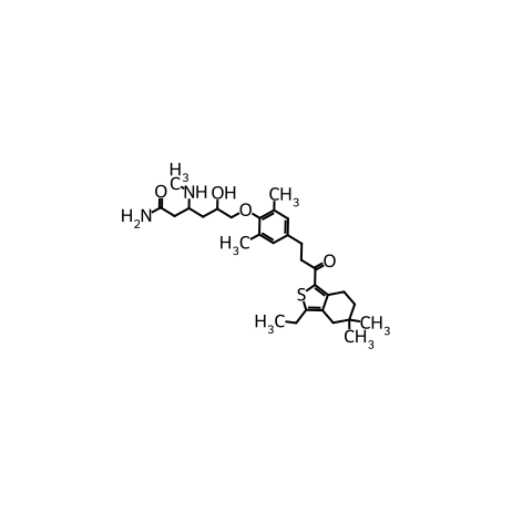 CCc1sc(C(=O)CCc2cc(C)c(OCC(O)CC(CC(N)=O)NC)c(C)c2)c2c1CC(C)(C)CC2